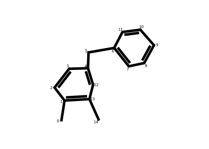 Cc1ccc([CH]c2ccccc2)cc1C